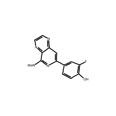 CNc1nc(-c2ccc(O)c(F)c2)cc2nccnc12